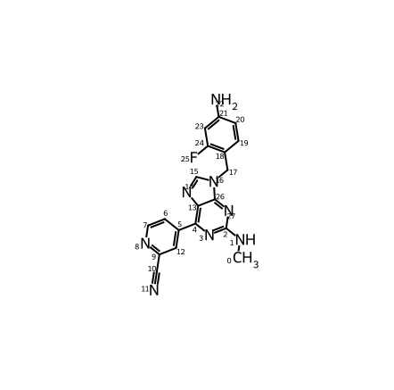 CNc1nc(-c2ccnc(C#N)c2)c2ncn(Cc3ccc(N)cc3F)c2n1